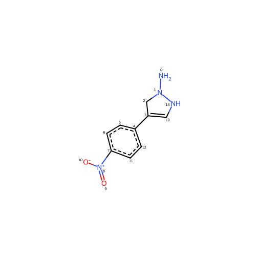 NN1CC(c2ccc([N+](=O)[O-])cc2)=CN1